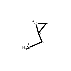 [SiH3]CC1CO1